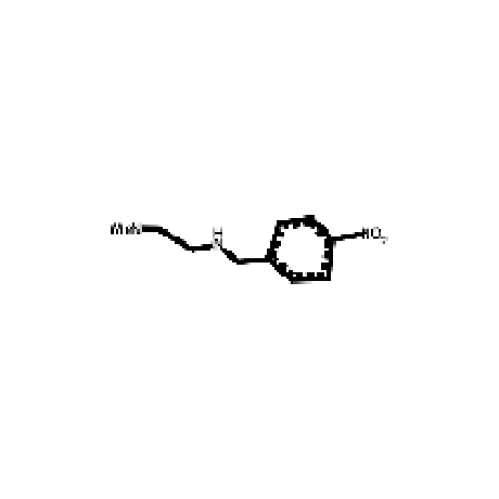 CNCCNCc1ccc([N+](=O)[O-])cc1